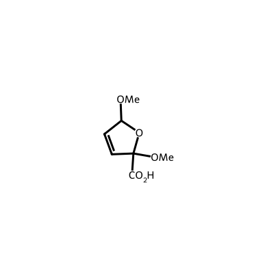 COC1C=CC(OC)(C(=O)O)O1